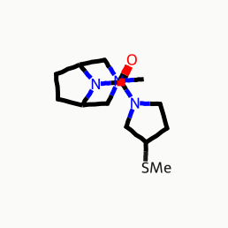 CSC1CCN(C(=O)N2C3CCC2CN(C)C3)C1